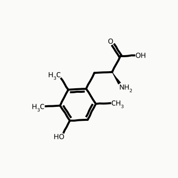 Cc1cc(O)c(C)c(C)c1C[C@H](N)C(=O)O